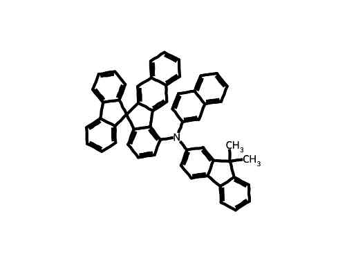 CC1(C)c2ccccc2-c2ccc(N(c3ccc4ccccc4c3)c3cccc4c3-c3cc5ccccc5cc3C43c4ccccc4-c4ccccc43)cc21